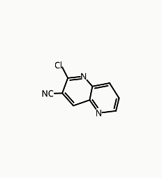 N#Cc1cc2ncccc2nc1Cl